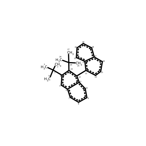 CC(C)(C)c1cc2ccccc2c(-c2cccc3ccccc23)c1C(C)(C)C